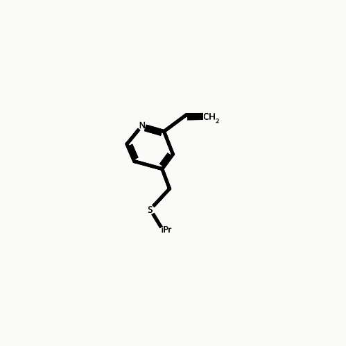 C=Cc1cc(CSC(C)C)ccn1